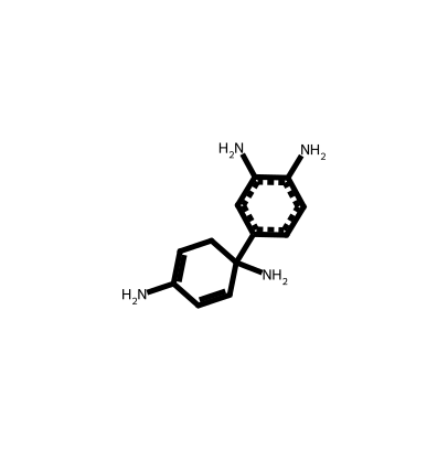 NC1=CCC(N)(c2ccc(N)c(N)c2)C=C1